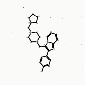 Cc1ccc(-c2nc3ccccn3c2CN2CCN(CC3CCCC3)CC2)cc1